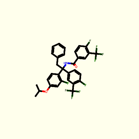 CC(C)Oc1ccc(C(Cc2ccccc2)(NC(=O)c2ccc(F)c(C(F)(F)F)c2)c2ccc(F)c(C(F)(F)F)c2)c(F)c1